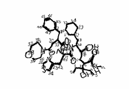 CCC(O)(CC)C(CC(O)C(CC1CCCCC1)NC(=O)C(Cc1cscn1)NC(=O)C(CC(=O)N1CCOCC1)Cc1ccccc1)C(=O)NC